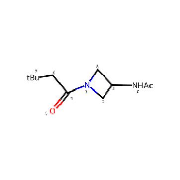 CC(=O)NC1CN(C(=O)CC(C)(C)C)C1